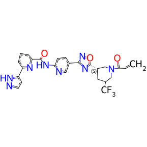 C=CC(=O)N1CC(C(F)(F)F)C[C@H](c2nc(-c3ccc(NC(=O)c4cccc(-c5ccn[nH]5)n4)nc3)no2)C1